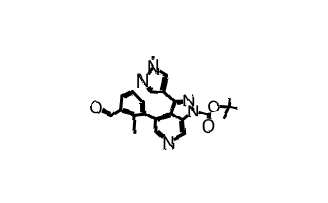 Cc1c(C=O)cccc1-c1cncc2c1c(-c1cnn(C)c1)nn2C(=O)OC(C)(C)C